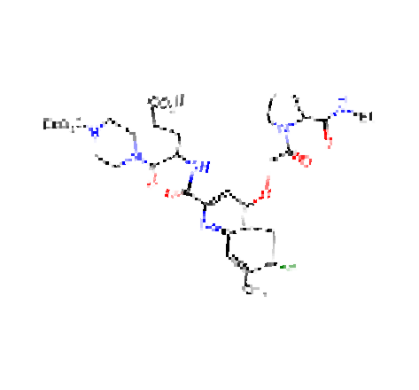 CCNC(=O)C1CCCN1C(=O)COc1cc(C(=O)NC(CCC(=O)O)C(=O)N2CCN(C(=O)OCC)CC2)nc2cc(C)c(F)cc12